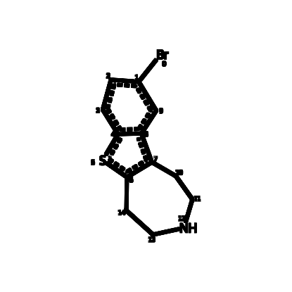 Brc1ccc2sc3c(c2c1)CCNCC3